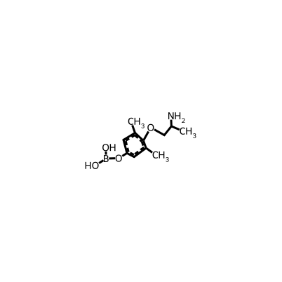 Cc1cc(OB(O)O)cc(C)c1OCC(C)N